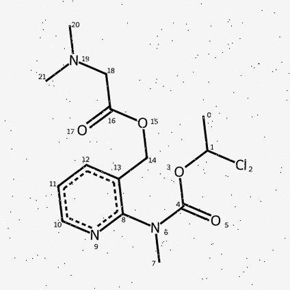 CC(Cl)OC(=O)N(C)c1ncccc1COC(=O)CN(C)C